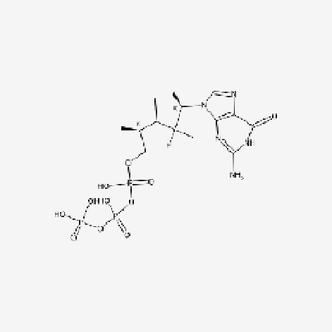 CC([C@H](C)COP(=O)(O)OP(=O)(O)OP(=O)(O)O)C(C)(F)[C@@H](C)n1cnc2c(=O)[nH]c(N)nc21